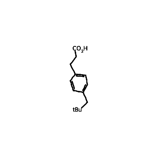 CC(C)(C)Cc1ccc(CCC(=O)O)cc1